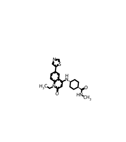 CCn1c(=O)cc(N[C@H]2CC[C@H](C(=O)NC)CC2)c2cc(-c3cncs3)ccc21